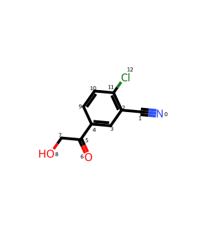 N#Cc1cc(C(=O)CO)ccc1Cl